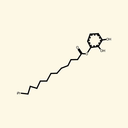 CC(C)CCCCCCCCCCCC(=O)Oc1cccc(O)c1O